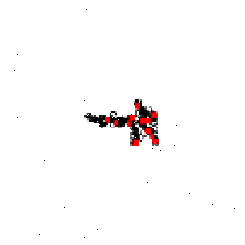 C=C(C)C(=O)OCCOc1cc(-c2ccc(OC(=O)C3CCC(CCCCC)CC3)cc2)ccc1OCC(COC(=O)C(=C)C)(COC(=O)C(=O)CCOC)COC(=O)C(=O)CCOC